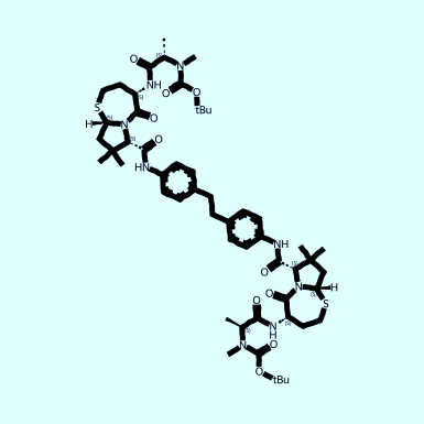 C[C@@H](C(=O)N[C@H]1CCS[C@H]2CC(C)(C)[C@@H](C(=O)Nc3ccc(CCc4ccc(NC(=O)[C@H]5N6C(=O)[C@@H](NC(=O)[C@H](C)N(C)C(=O)OC(C)(C)C)CCS[C@H]6CC5(C)C)cc4)cc3)N2C1=O)N(C)C(=O)OC(C)(C)C